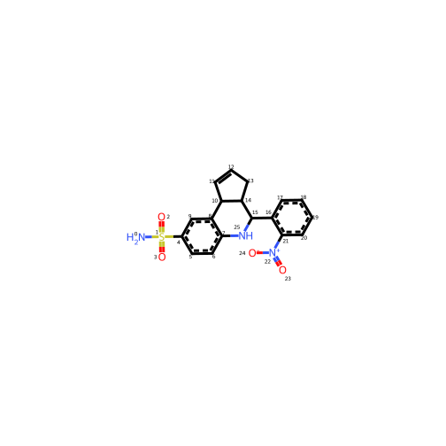 NS(=O)(=O)c1ccc2c(c1)C1C=CCC1C(c1ccccc1[N+](=O)[O-])N2